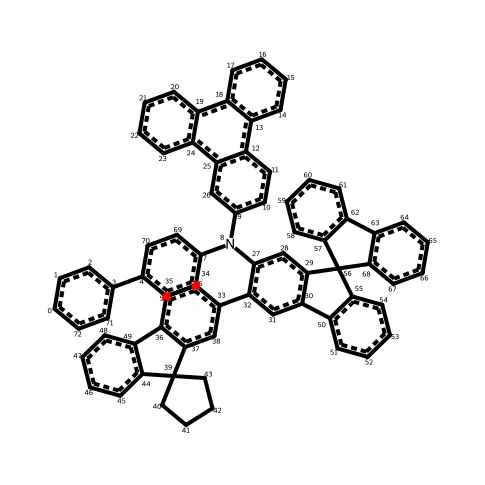 c1ccc(-c2ccc(N(c3ccc4c5ccccc5c5ccccc5c4c3)c3cc4c(cc3-c3ccc5c(c3)C3(CCCC3)c3ccccc3-5)-c3ccccc3C43c4ccccc4-c4ccccc43)cc2)cc1